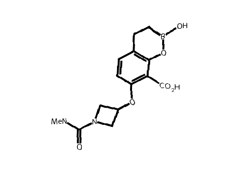 CNC(=O)N1CC(Oc2ccc3c(c2C(=O)O)OB(O)CC3)C1